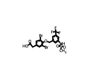 CS(=O)(=O)Nc1cc(COc2c(Br)cc(CC(=O)O)cc2Br)cc(C(F)(F)F)c1